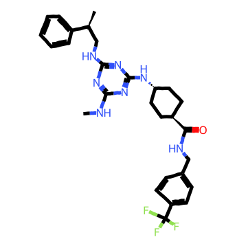 CNc1nc(NC[C@H](C)c2ccccc2)nc(N[C@H]2CC[C@H](C(=O)NCc3ccc(C(F)(F)F)cc3)CC2)n1